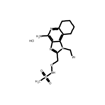 CC(C)Cn1c(CONS(C)(=O)=O)nc2c(N)nc3c(c21)CCCC3.Cl